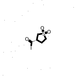 O=C(I)[C@H]1CCS(=O)(=O)C1